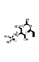 C=CC(=O)OC(O)CC.O=P(O)(O)O.OCC(O)CO